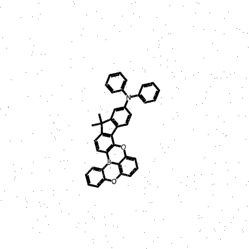 CC1(C)c2cc(N(c3ccccc3)c3ccccc3)ccc2-c2c1ccc1c2Oc2cccc3c2B1c1ccccc1O3